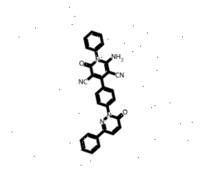 N#Cc1c(-c2ccc(-n3nc(-c4ccccc4)ccc3=O)cc2)c(C#N)c(=O)n(-c2ccccc2)c1N